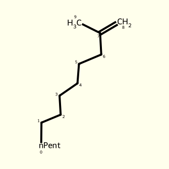 [CH2]CCCCCCCCCCC(=C)C